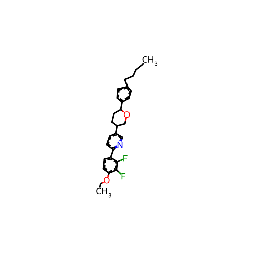 CCCCCc1ccc(C2CCC(c3ccc(-c4ccc(OCC)c(F)c4F)nc3)CO2)cc1